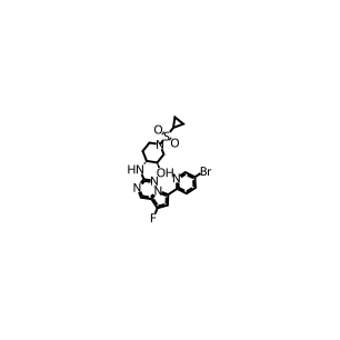 O=S(=O)(C1CC1)N1CC[C@@H](Nc2ncc3c(F)cc(-c4ccc(Br)cn4)n3n2)[C@H](O)C1